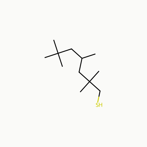 CC(CC(C)(C)C)CC(C)(C)CS